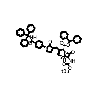 CC(C)(C)OC(=O)N[C@@H]1C(=O)N2[C@@H](C(=O)OC(c3ccccc3)c3ccccc3)C(C=C3CCN(c4ccc(C(=O)NC(c5ccccc5)(c5ccccc5)c5ccccc5)cc4)C3=O)=CS[C@H]12